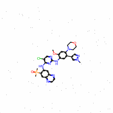 COc1cc(N2CCOCC2)c(-c2cnn(C)c2)cc1Nc1ncc(Cl)c(Nc2cc3nccnc3cc2P(C)(C)=O)n1